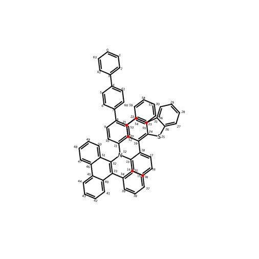 c1ccc(-c2ccc(-c3ccc(N(c4ccccc4-c4cccc5c4sc4ccccc45)c4c(-c5ccccc5)c5ccccc5c5ccccc45)cc3-c3ccccc3)cc2)cc1